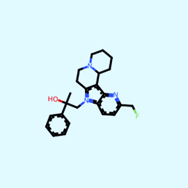 CC(O)(Cn1c2c(c3nc(CF)ccc31)C1CCCCN1CC2)c1ccccc1